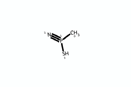 CP(#N)S